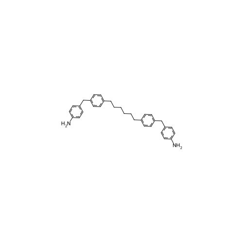 Nc1ccc(Cc2ccc(CCCCCCc3ccc(Cc4ccc(N)cc4)cc3)cc2)cc1